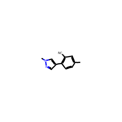 Cc1ccc(-c2cnn(C)c2)c(C#N)c1